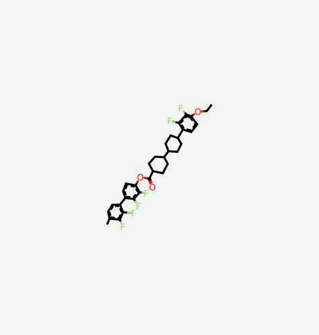 CCOc1ccc(C2CCC(C3CCC(C(=O)Oc4ccc(-c5ccc(C)c(F)c5F)c(F)c4F)CC3)CC2)c(F)c1F